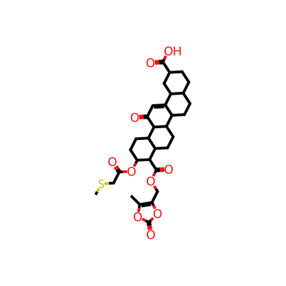 CSCC(=O)OC1CCC2C(CCC3C4CCC5CCC(C(=O)O)CC5C4=CC(=O)C32)C1C(=O)OCc1oc(=O)oc1C